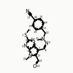 CSc1nc2c(s1)c(/C=N\N(C)Cc1ccc(C#N)cc1)c(C=O)n2C